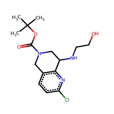 CC(C)(C)OC(=O)N1Cc2ccc(Cl)nc2C(NCCO)C1